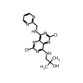 CC(C)(O)CNc1nc(Cl)nc2c(NCc3ncccn3)nc(Cl)nc12